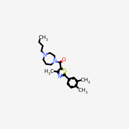 CCCCN1CCCN(C(=O)c2sc(-c3ccc(C)c(C)c3)nc2C)CC1